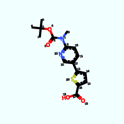 CN(C(=O)OC(C)(C)C)c1ccc(-c2ccc(C(=O)O)s2)cn1